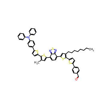 CCCCCCCCc1cc(-c2ccc(-c3cc(C)c(-c4ccc(-c5ccc(N(c6ccccc6)c6ccccc6)cc5)s4)s3)c3nsnc23)sc1-c1ccc(-c2ccc(C=O)cc2)s1